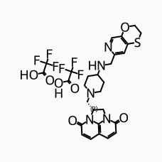 O=C(O)C(F)(F)F.O=C(O)C(F)(F)F.O=c1ccc2ccc(=O)n3c2n1C[C@H]3CN1CCC(NCc2cc3c(cn2)OCCS3)CC1